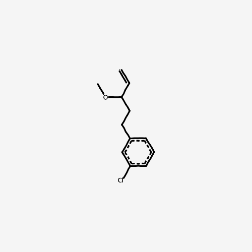 [CH]=CC(CCc1cccc(Cl)c1)OC